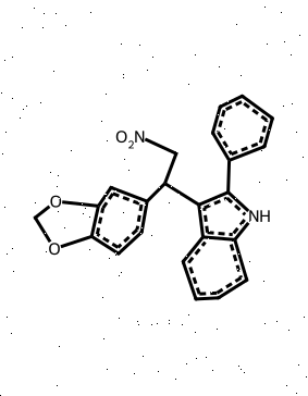 O=[N+]([O-])CC(c1ccc2c(c1)OCO2)c1c(-c2ccccc2)[nH]c2ccccc12